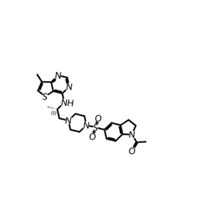 CC(=O)N1CCc2cc(S(=O)(=O)N3CCN(C[C@H](C)Nc4ncnc5c(C)csc45)CC3)ccc21